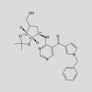 CC1(C)O[C@@H]2[C@H](O1)C(CO)C[C@H]2Nc1ncncc1C(=O)c1ccn(Cc2ccccc2)c1